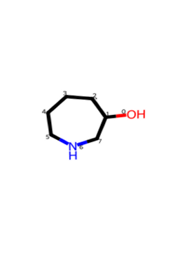 OC1[CH]CCCNC1